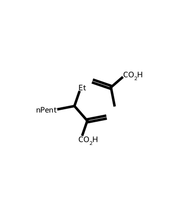 C=C(C(=O)O)C(CC)CCCCC.C=C(C)C(=O)O